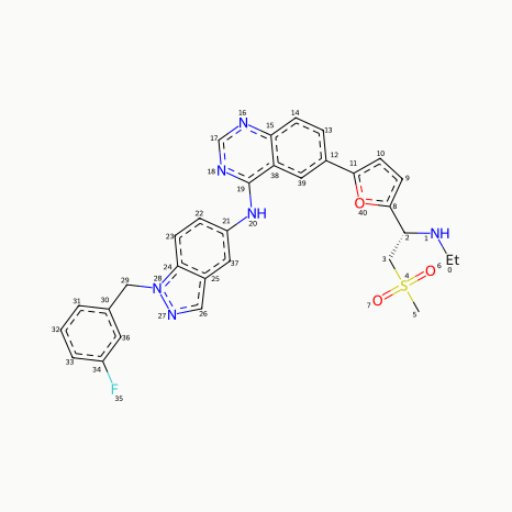 CCN[C@H](CS(C)(=O)=O)c1ccc(-c2ccc3ncnc(Nc4ccc5c(cnn5Cc5cccc(F)c5)c4)c3c2)o1